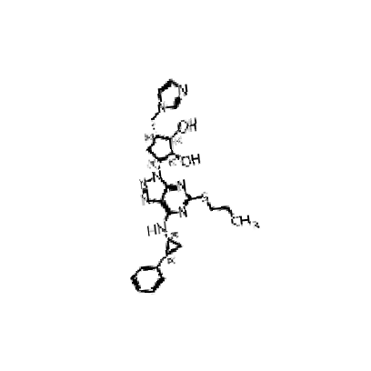 CCCSc1nc(N[C@@H]2C[C@H]2c2ccccc2)c2nnn([C@@H]3C[C@H](Cn4ccnc4)[C@@H](O)[C@H]3O)c2n1